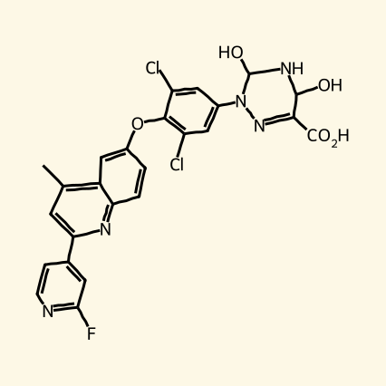 Cc1cc(-c2ccnc(F)c2)nc2ccc(Oc3c(Cl)cc(N4N=C(C(=O)O)C(O)NC4O)cc3Cl)cc12